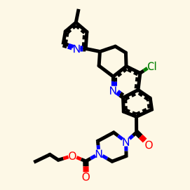 CCCOC(=O)N1CCN(C(=O)c2ccc3c(Cl)c4c(nc3c2)CC(c2cc(C)ccn2)CC4)CC1